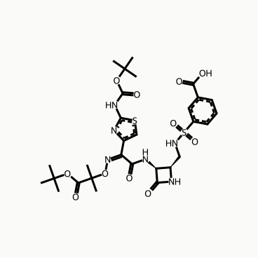 CC(C)(C)OC(=O)Nc1nc(/C(=N/OC(C)(C)C(=O)OC(C)(C)C)C(=O)N[C@@H]2C(=O)N[C@@H]2CNS(=O)(=O)c2cccc(C(=O)O)c2)cs1